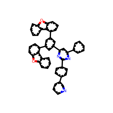 c1ccc(-c2cc(-c3cc(-c4cccc5oc6ccccc6c45)cc(-c4cccc5oc6ccccc6c45)c3)nc(-c3ccc(-c4cccnc4)cc3)n2)cc1